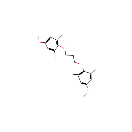 COc1cc(C)c(OCCCOc2c(C)cc(OC)cc2I)c(I)c1